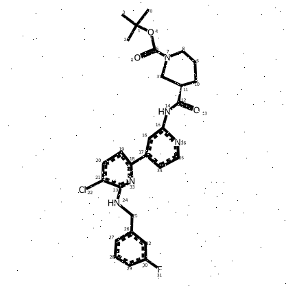 CC(C)(C)OC(=O)N1CCC[C@@H](C(=O)Nc2cc(-c3ccc(Cl)c(NCc4cccc(F)c4)n3)ccn2)C1